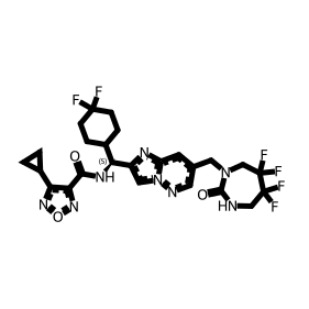 O=C(N[C@H](c1cn2ncc(CN3CC(F)(F)C(F)(F)CNC3=O)cc2n1)C1CCC(F)(F)CC1)c1nonc1C1CC1